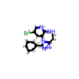 Brc1cnc2c(c1)-n1c(nnc1-c1ccccc1)CCN2